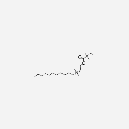 CCCCCCCCCCC[N+](C)(C)CCOC(=O)C(C)(C)CC